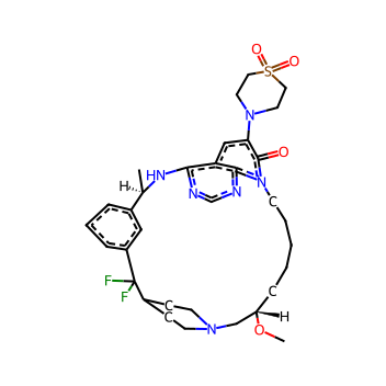 CO[C@H]1CCCCCn2c(=O)c(N3CCS(=O)(=O)CC3)cc3c(ncnc32)N[C@H](C)c2cccc(c2)C(F)(F)C2CCN(CC2)C1